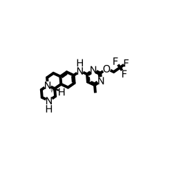 Cc1cc(NC2=CCC3C(=C2)CCN2CCNC[C@@H]32)nc(OCC(F)(F)F)n1